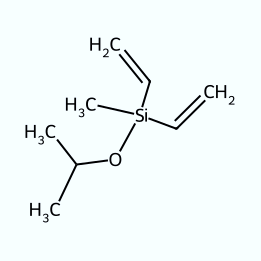 C=C[Si](C)(C=C)OC(C)C